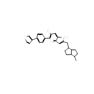 CC1CCC2C(Cc3cc4nc(-c5ccc(-c6ccsc6)cc5)c(F)cc4[nH]3)CCC12